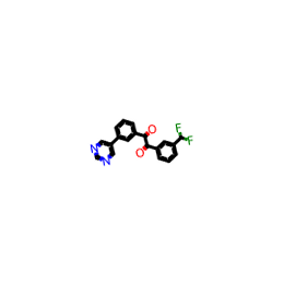 O=C(C(=O)c1cccc(C(F)F)c1)c1cccc(-c2cncnc2)c1